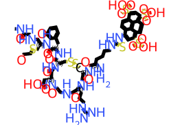 CNC(=O)CNC(=O)[C@H](CSCC=O)NC(=O)[C@H](Cc1ccccc1)NC(=O)[C@@H]1CSSC[C@H](NC(=O)[C@@H](N)CCCCNC(=S)Nc2cc(S(=O)(=O)O)c3ccc4c(S(=O)(=O)O)cc(S(=O)(=O)O)c5ccc2c3c54)C(=O)N[C@@H](CCCNC(=N)N)C(=O)NCC(=O)N[C@@H](CC(=O)O)C(=O)N1